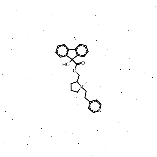 C[N@+]1(CCc2ccncc2)CCCC1COC(=O)C1(O)c2ccccc2-c2ccccc21